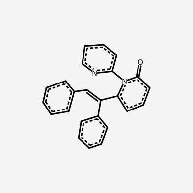 O=c1cccc(/C(=C/c2ccccc2)c2ccccc2)n1-c1ccccn1